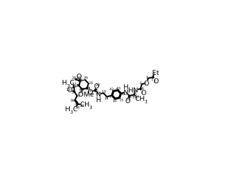 CCC(=O)COCC(=O)N[C@@H](C)C(=O)Nc1ccc(CCNC(=O)O[C@@H]2CC[C@]3(CO3)[C@@H](C3(C)OC3CC=C(C)C)[C@@H]2OC)cc1